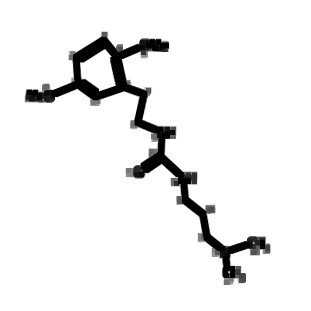 COc1ccc(OC)c(CCNC(=O)NCCCN(C)C)c1